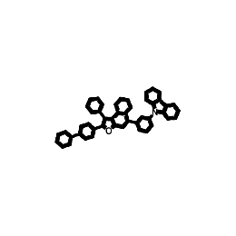 c1ccc(-c2ccc(-c3oc4cc(-c5cccc(-n6c7ccccc7c7ccccc76)c5)c5ccccc5c4c3-c3ccccc3)cc2)cc1